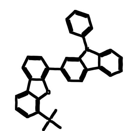 CS(C)(C)c1cccc2c1oc1c(-c3ccc4c5ccccc5n(-c5ccccc5)c4c3)cccc12